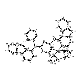 Cc1ccccc1N(c1ccc2c(c1)Oc1c(ccc3sc4ccccc4c13)C21c2ccccc2-c2ccccc21)c1cccc2c1oc1ccccc12